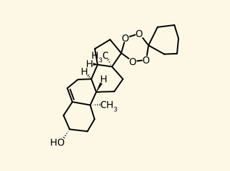 C[C@]12CC[C@H](O)CC1=CC[C@@H]1[C@@H]2CC[C@@]2(C)[C@H]1CCC21OOC2(CCCCC2)OO1